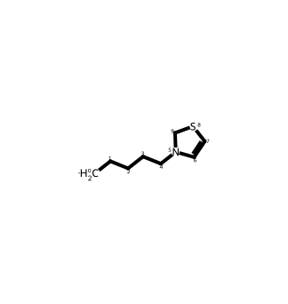 [CH2]CCCCN1C=CSC1